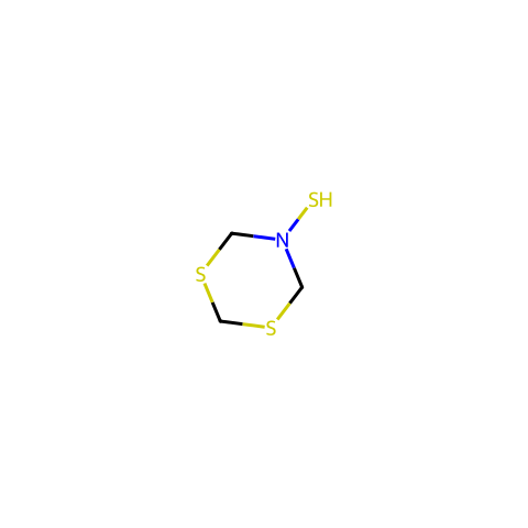 SN1CSCSC1